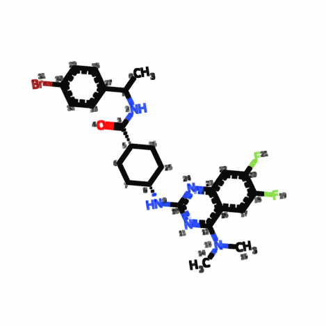 CC(NC(=O)[C@H]1CC[C@@H](Nc2nc(N(C)C)c3cc(F)c(F)cc3n2)CC1)c1ccc(Br)cc1